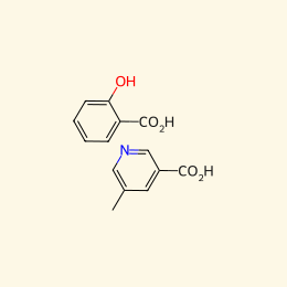 Cc1cncc(C(=O)O)c1.O=C(O)c1ccccc1O